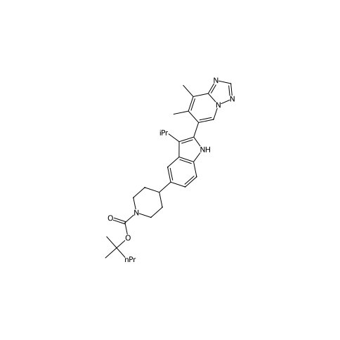 CCCC(C)(C)OC(=O)N1CCC(c2ccc3[nH]c(-c4cn5ncnc5c(C)c4C)c(C(C)C)c3c2)CC1